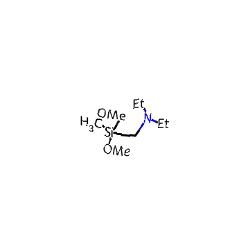 CCN(CC)C[Si](C)(OC)OC